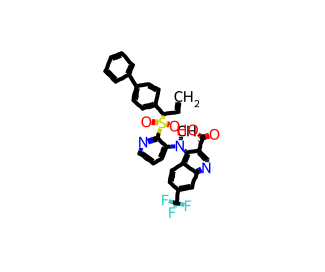 C=CC(c1ccc(-c2ccccc2)cc1)S(=O)(=O)c1ncccc1N(C)c1c(C(=O)O)cnc2cc(C(F)(F)F)ccc12